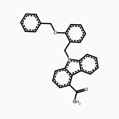 NC(=O)c1cccc2c1c1[c]cccc1n2Cc1ccccc1OCc1ccccc1